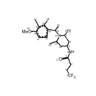 CCC1CC(NC(=O)CCC(F)(F)F)CC(C)N1C(C)c1ccc(OC)c(C)c1C